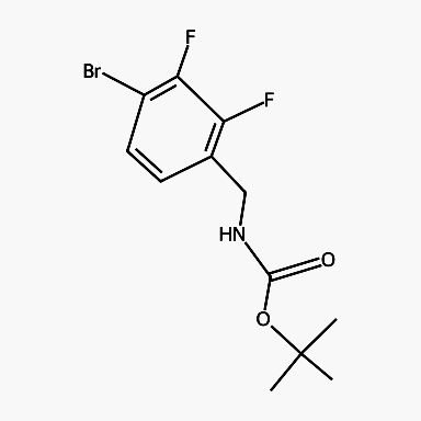 CC(C)(C)OC(=O)NCc1ccc(Br)c(F)c1F